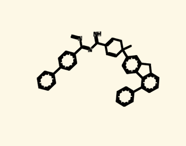 C=N/C(=N\C(=N)C1=CCC(C)(c2ccc3c(c2)Cc2cccc(-c4ccccc4)c2-3)C=C1)c1ccc(-c2ccccc2)cc1